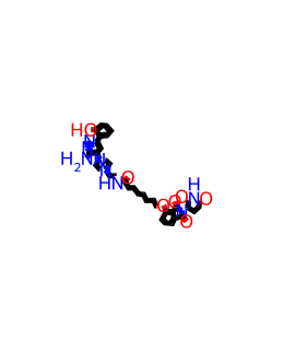 Nc1nnc(-c2ccccc2O)cc1N1CCN(CCNC(=O)CCCCCCCOc2cccc3c2C(=O)N(C2CCC(=O)NC2=O)C3=O)CC1